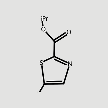 [CH2]c1cnc(C(=O)OC(C)C)s1